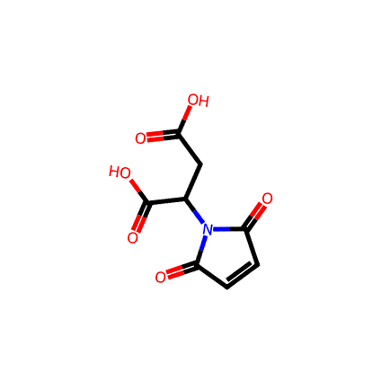 O=C(O)CC(C(=O)O)N1C(=O)C=CC1=O